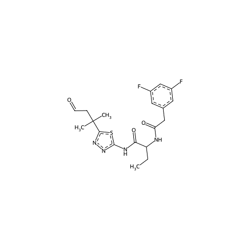 CCC(NC(=O)Cc1cc(F)cc(F)c1)C(=O)Nc1nnc(C(C)(C)CC=O)s1